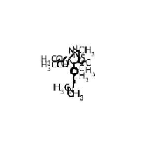 Cc1sc2c(c1C)C(c1ccc(C#CCN(C)C)cc1)=N[C@H](CC(=O)OC(C)(C)C)c1nnc(C)n1-2